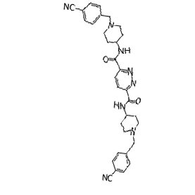 N#Cc1ccc(CN2CCC(NC(=O)c3ccc(C(=O)NC4CCN(Cc5ccc(C#N)cc5)CC4)nn3)CC2)cc1